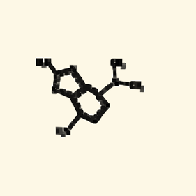 CN(C)c1ccc(N)c2sc(N)nc12